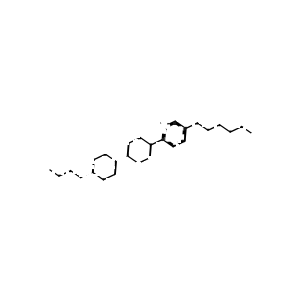 CCCCCCc1ccc(C2CCC([C@H]3CC[C@H](CCCC)CC3)CC2)nc1